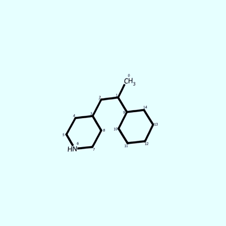 CC([CH]C1CCNCC1)C1CCCCC1